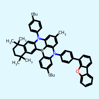 Cc1cc2c3c(c1)N(c1ccc(C(C)(C)C)cc1)c1cc4c(cc1B3c1ccc(C(C)(C)C)cc1N2c1ccc(-c2cccc3c2oc2ccccc23)cc1)C(C)(C)CCC4(C)C